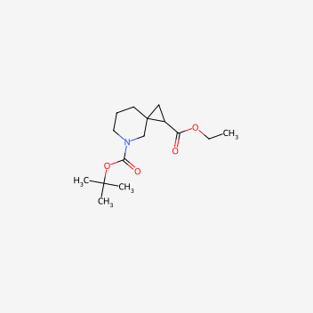 CCOC(=O)C1CC12CCCN(C(=O)OC(C)(C)C)C2